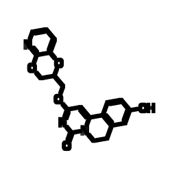 O=c1nc(OCC2COc3ncccc3O2)cc2n1CCc1cc(O)ccc1-2